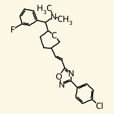 CN(C)C(c1cccc(F)c1)C1CCC(/C=C/c2nc(-c3ccc(Cl)cc3)no2)CC1